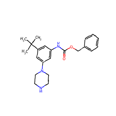 CC(C)(C)c1cc(NC(=O)OCc2ccccc2)cc(N2CCNCC2)c1